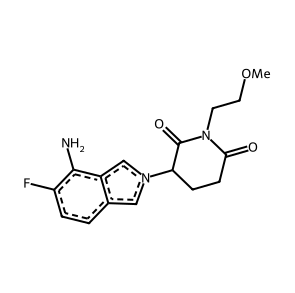 COCCN1C(=O)CCC(n2cc3ccc(F)c(N)c3c2)C1=O